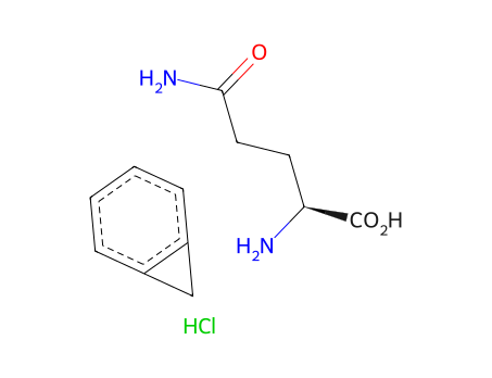 Cl.NC(=O)CC[C@H](N)C(=O)O.c1ccc2c(c1)C2